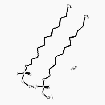 CCCCCCCCCCCCOP(=S)([S-])OC.CCCCCCCCCCCCOP(=S)([S-])OC.[Zn+2]